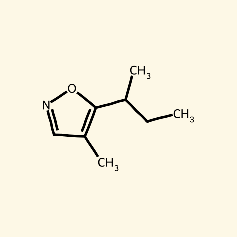 CCC(C)c1oncc1C